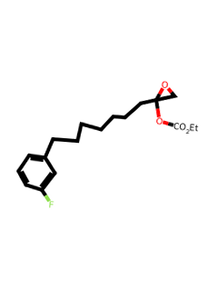 CCOC(=O)OC1(CCCCCCCc2cccc(F)c2)CO1